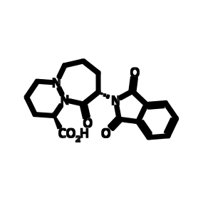 O=C(O)[C@H]1CCCN2CCC[C@H](N3C(=O)c4ccccc4C3=O)C(=O)N12